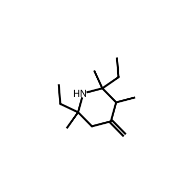 C=C1CC(C)(CC)NC(C)(CC)C1C